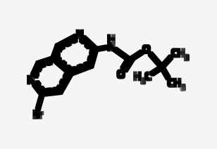 CC(C)(C)OC(=O)Nc1cc2cc(Br)ncc2cn1